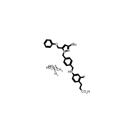 CC(C)(C)c1cc(COc2ccccc2)n(Cc2ccc(CNc3ccc(CCC(=O)O)c(F)c3)cc2)n1.CS(=O)(=O)O.CS(=O)(=O)O